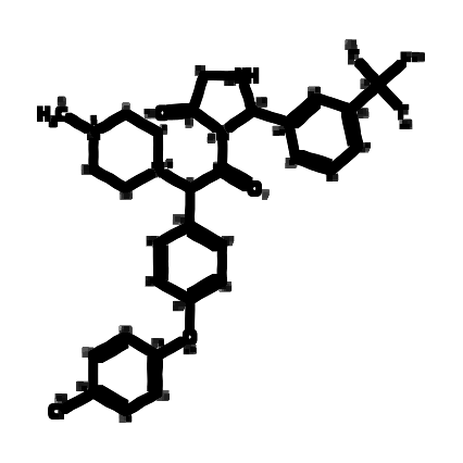 CN1CCN(C(C(=O)N2C(=O)CNC2c2cccc(C(F)(F)F)c2)c2ccc(Oc3ccc(Cl)cc3)cc2)CC1